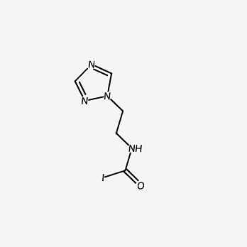 O=C(I)NCCn1cncn1